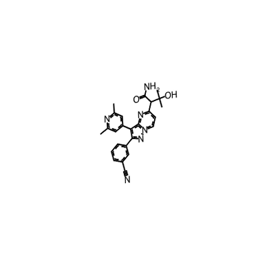 Cc1cc(-c2c(-c3cccc(C#N)c3)nn3ccc(C(C(N)=O)C(C)(C)O)nc23)cc(C)n1